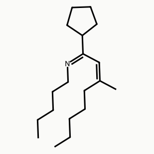 CCCCC/N=C(\C=C(\C)CCCCC)C1CCCC1